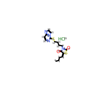 CCCC=C1SC(=O)N(CCCCSc2nccc3nccn23)C1=O.Cl